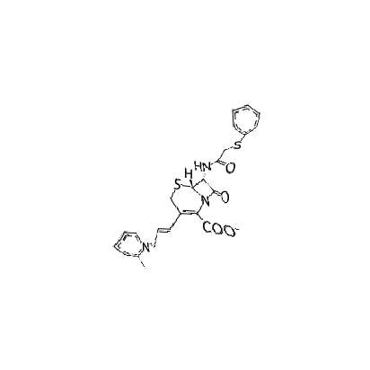 Cc1cccc[n+]1C/C=C/C1=C(C(=O)[O-])N2C(=O)[C@@H](NC(=O)CSc3ccccc3)[C@H]2SC1